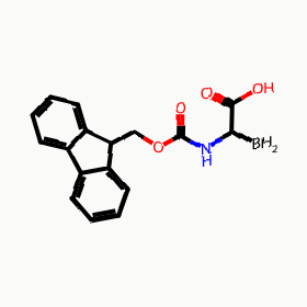 BC(NC(=O)OCC1c2ccccc2-c2ccccc21)C(=O)O